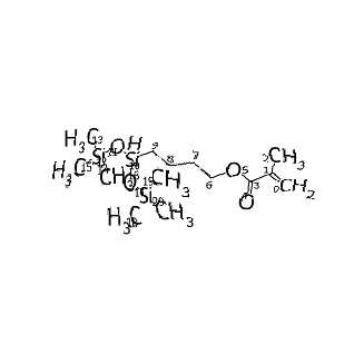 C=C(C)C(=O)OCCCC[SiH](O[Si](C)(C)C)O[Si](C)(C)C